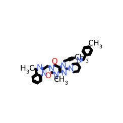 CC#CCn1c(N2CCC[C@@H](N=Cc3ccc(C)cc3)C2)nc2c1c(=O)n(Cc1nc(C)c3ccccc3n1)c(=O)n2C